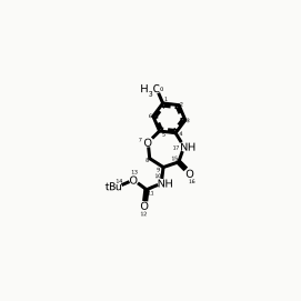 Cc1ccc2c(c1)OCC(NC(=O)OC(C)(C)C)C(=O)N2